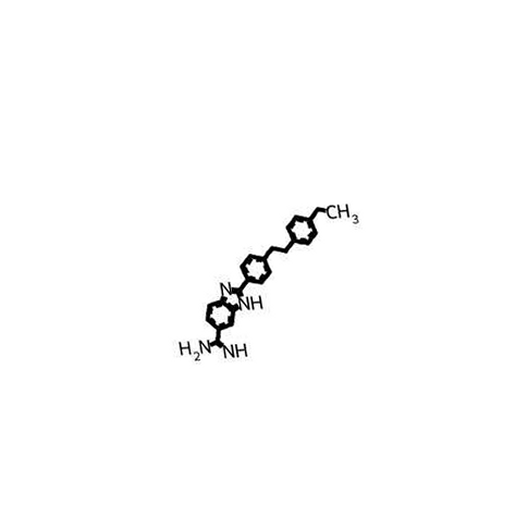 CCc1ccc(CCc2ccc(-c3nc4ccc(C(=N)N)cc4[nH]3)cc2)cc1